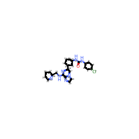 O=C(Nc1ccc(Cl)cc1)Nc1cccc(-c2cn3ccnc3c(NCc3ccccn3)n2)c1